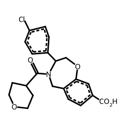 O=C(O)c1ccc2c(c1)OCC(c1ccc(Cl)cc1)N(C(=O)C1CCOCC1)C2